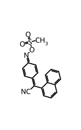 CS(=O)(=O)ON=C1C=CC(=C(C#N)c2cccc3ccccc23)C=C1